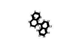 c1ccc2c(c1)CCCC2c1cccc2ccccc12